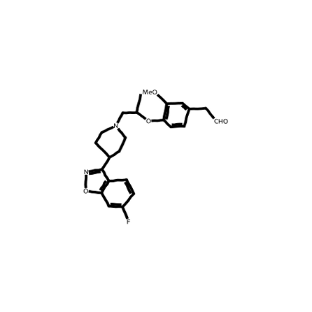 COc1cc(CC=O)ccc1OC(C)CN1CCC(c2noc3cc(F)ccc23)CC1